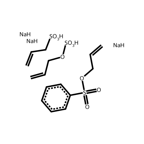 C=CCOS(=O)(=O)O.C=CCOS(=O)(=O)c1ccccc1.C=CCS(=O)(=O)O.[NaH].[NaH].[NaH]